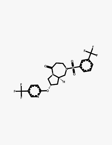 O=C1CCN(S(=O)(=O)c2cccc(C(F)(F)F)c2)C[C@H]2C[C@H](Oc3ccc(C(F)(F)F)cn3)CN12